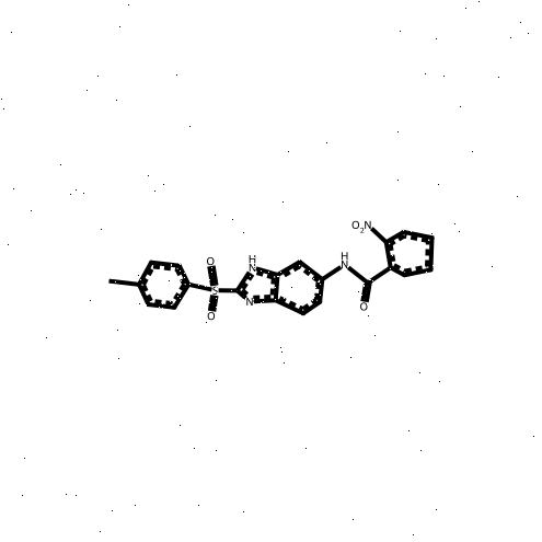 Cc1ccc(S(=O)(=O)c2nc3ccc(NC(=O)c4ccccc4[N+](=O)[O-])cc3[nH]2)cc1